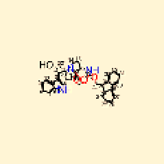 C[C@](Cc1c[nH]c2ccccc12)(C(=O)O)N1CC[C@H](NC(=O)OCC2c3ccccc3-c3ccccc32)C1=O